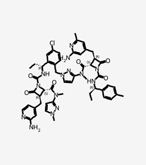 CC[C@@H](NC(=O)N1C(=O)[C@H](Cc2cc(C)nc(N)c2)[C@H]1C(=O)N(C)c1ccn(Cc2ccc(Cl)cc2[C@@H](CC)NC(=O)N2C(=O)[C@H](Cc3ccnc(N)c3)[C@H]2C(=O)N(C)c2ccn(C)n2)n1)c1ccc(C)cc1